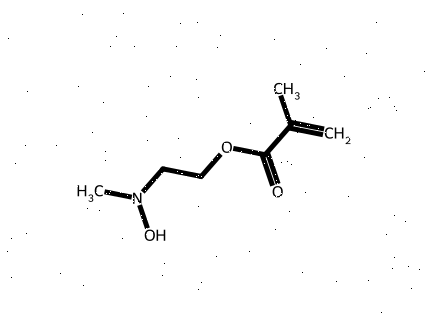 C=C(C)C(=O)OCCN(C)O